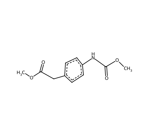 COC(=O)Cc1ccc(NC(=O)OC)cc1